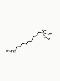 CCCCCCCCCCCCCCCCCC[Si](O)(O)OCC